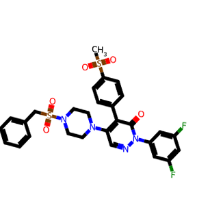 CS(=O)(=O)c1ccc(-c2c(N3CCN(S(=O)(=O)Cc4ccccc4)CC3)cnn(-c3cc(F)cc(F)c3)c2=O)cc1